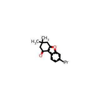 CC(C)c1ccc2c3c(oc2c1)CC(C)(C)CC3=O